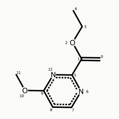 C=C(OCC)c1nccc(OC)n1